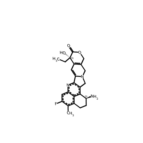 CC[C@@]1(O)C(=O)OCC2=C1C=C1c3nc4cc(F)c(C)c5c4c(c3CN1C2)[C@@H](N)CC5